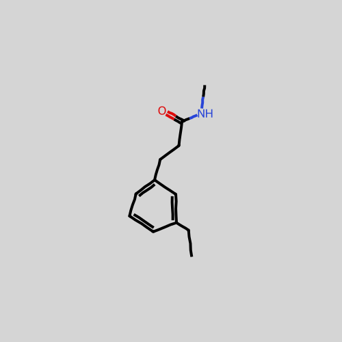 CCc1cccc(CCC(=O)NC)c1